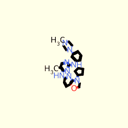 Cc1cnc(Nc2cccc(N3CCN(C)CC3)c2)nc1Nc1ccc2c(n1)N(C1CCCC1)CCO2